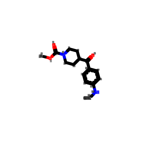 CC(C)OC(=O)N1CCC(C(=O)c2ccc(NC=O)cc2)CC1